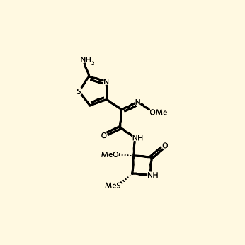 CON=C(C(=O)N[C@@]1(OC)C(=O)N[C@@H]1SC)c1csc(N)n1